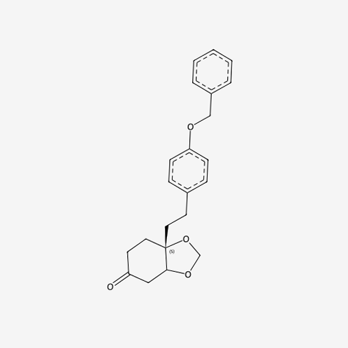 O=C1CC[C@]2(CCc3ccc(OCc4ccccc4)cc3)OCOC2C1